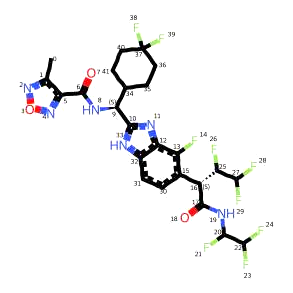 Cc1nonc1C(=O)N[C@H](c1nc2c(F)c([C@@H](C(=O)NC(F)C(F)F)C(F)C(F)F)ccc2[nH]1)C1CCC(F)(F)CC1